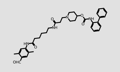 Cc1cc(NC(=O)CCCCCNC(=O)CCN2CCC(OC(=O)Nc3ccccc3-c3ccccc3)CC2)c(C)cc1C=O